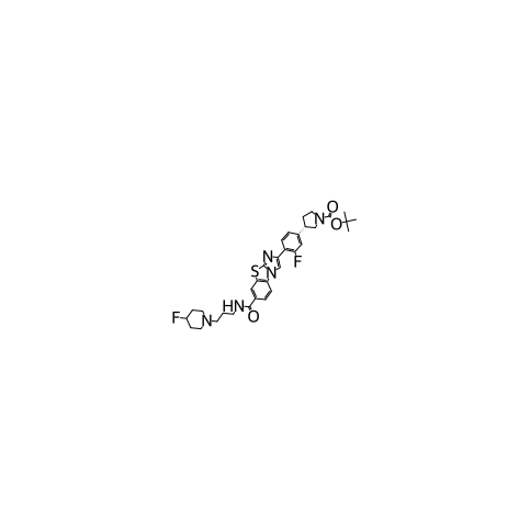 CC(C)(C)OC(=O)N1CC[C@@H](c2ccc(-c3cn4c(n3)sc3cc(C(=O)NCCCN5CCC(F)CC5)ccc34)c(F)c2)C1